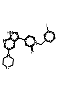 O=c1cc(-c2c[nH]c3ncc(N4CCOCC4)cc23)ccn1Cc1cccc(I)c1